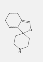 C1=C2CCCC=C2C2(CCNCC2)O1